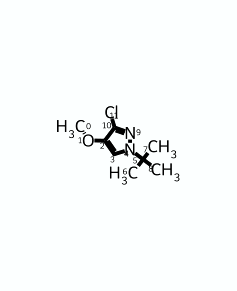 COc1cn(C(C)(C)C)nc1Cl